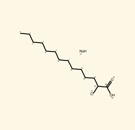 CCCCCCCCCCCCC(Cl)C(=O)O.[NaH]